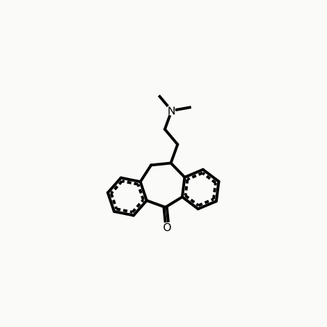 CN(C)CCC1Cc2ccccc2C(=O)c2ccccc21